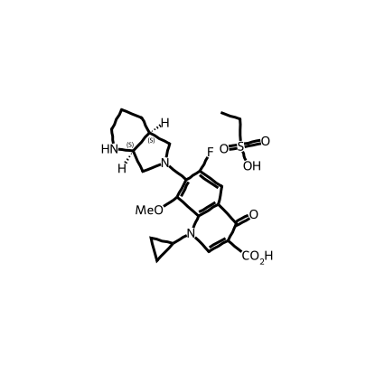 CCS(=O)(=O)O.COc1c(N2C[C@@H]3CCCN[C@@H]3C2)c(F)cc2c(=O)c(C(=O)O)cn(C3CC3)c12